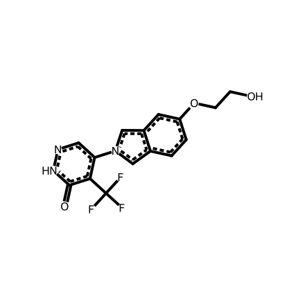 O=c1[nH]ncc(-n2cc3ccc(OCCO)cc3c2)c1C(F)(F)F